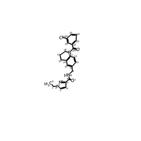 CCn1ccc(C(=O)NCc2ccc3c(c2)CCCN3C(=O)c2cccc(Cl)c2)n1